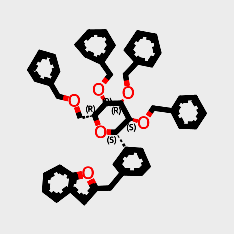 c1ccc(COC[C@H]2O[C@@H](c3cccc(Cc4cc5ccccc5o4)c3)[C@H](OCc3ccccc3)[C@@H](OCc3ccccc3)[C@@H]2OCc2ccccc2)cc1